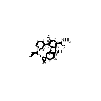 C=CC(=O)N1CCC=C(c2c(F)cc(C(N)=O)c3[nH]c4c(c23)CC2(CC4)CC2)C1